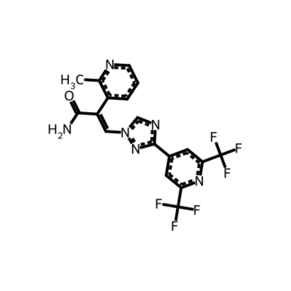 Cc1ncccc1/C(=C\n1cnc(-c2cc(C(F)(F)F)nc(C(F)(F)F)c2)n1)C(N)=O